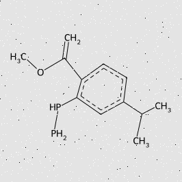 C=C(OC)c1ccc(C(C)C)cc1PP